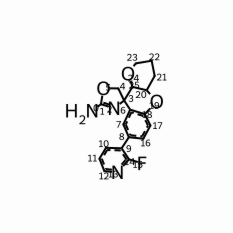 NC1=NC2(CO1)c1cc(-c3cccnc3F)ccc1OC1CCCOC12